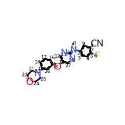 CN(c1ccc(F)c(C#N)c1)c1ncc(Oc2cccc(N3CCOCC3)c2)cn1